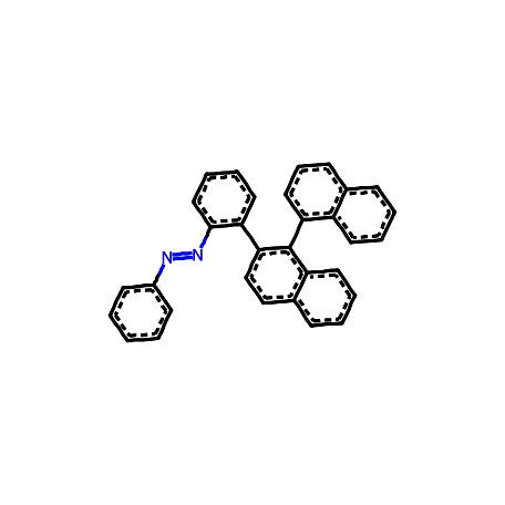 c1ccc(N=Nc2ccccc2-c2ccc3ccccc3c2-c2cccc3ccccc23)cc1